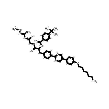 CCCCCCCOc1ccc(-c2cnc(-c3ccc(CC(NC(=O)c4ccc(C(C)(C)C)cc4)C(=O)NCC(=O)N/C(N)=N/NN)cc3)nc2)cc1